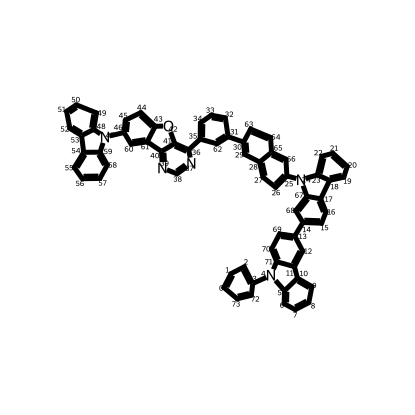 c1ccc(-n2c3ccccc3c3cc(-c4ccc5c6ccccc6n(-c6ccc7cc(-c8cccc(-c9ncnc%10c9oc9ccc(-n%11c%12ccccc%12c%12ccccc%12%11)cc9%10)c8)ccc7c6)c5c4)ccc32)cc1